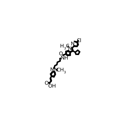 Cn1c(CCCCCNC(=O)c2ccc3c(C4CCCC4)c(-c4ccc(Cl)cn4)n(C)c3c2)nc2cc(/C=C/C(=O)O)ccc21